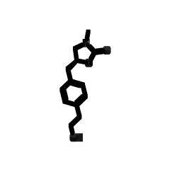 CN1C[C@H](Cc2ccc(CCO)cc2)OC1=O